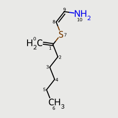 C=C(CCCCC)S/C=C\N